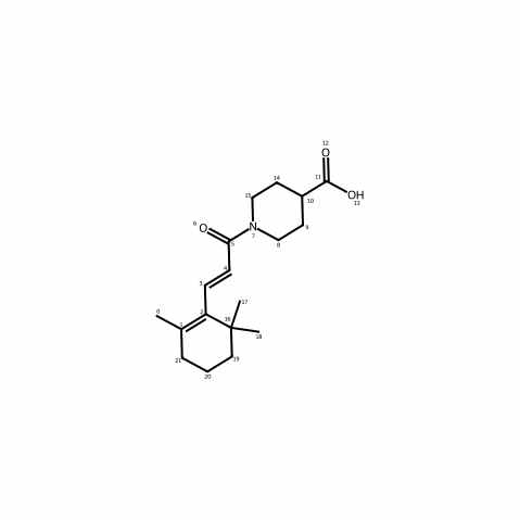 CC1=C(C=CC(=O)N2CCC(C(=O)O)CC2)C(C)(C)CCC1